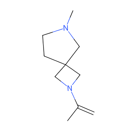 C=C(C)N1CC2(CCN(C)C2)C1